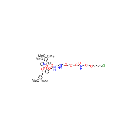 CCC(C(=O)N1CCCC[C@H]1C(=O)O[C@H](CCc1ccc(OC)c(OC)c1)c1cccc(OCC(=O)NCc2cn(CCOCCOCCOCC(=O)NCCOCCOCCCCCCCl)nn2)c1)c1cc(OC)c(OC)c(OC)c1